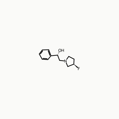 O[C@H](CN1CC[C@@H](F)C1)c1ccccc1